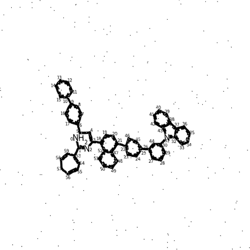 N/C(=N\C(=C/Cc1ccc(-c2ccccc2)cc1)c1ccc(-c2ccc(-c3cccc(-n4c5ccccc5c5ccccc54)c3)cc2)c2ccccc12)C1=CC=CCC=C1